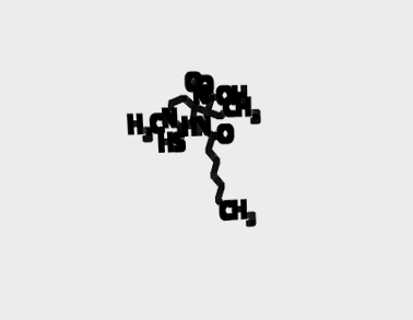 CCCCCCC(=O)NC(CC)(C(=O)O)C1(N=O)CCN(C)C(S)C1